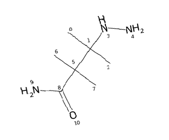 CC(C)(NN)C(C)(C)C(N)=O